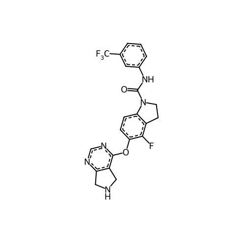 O=C(Nc1cccc(C(F)(F)F)c1)N1CCc2c1ccc(Oc1ncnc3c1CNC3)c2F